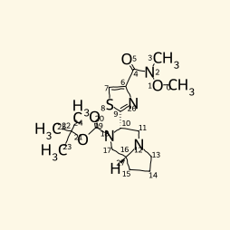 CON(C)C(=O)c1csc([C@@H]2CN3CCC[C@@H]3CN2C(=O)OC(C)(C)C)n1